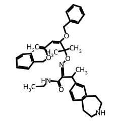 C=C(/C=C(/OCc1ccccc1)C(C)(C)O/N=C(/C(=O)NCC)C(C)c1ccc2c(c1)CCNCC2)OCc1ccccc1